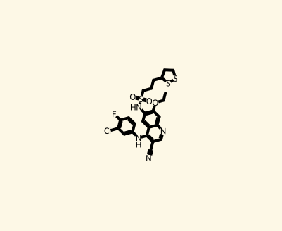 CCOc1cc2ncc(C#N)c(Nc3ccc(F)c(Cl)c3)c2cc1NS(=O)(=O)CCCC1CCSS1